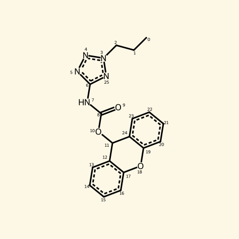 CCCn1nnc(NC(=O)OC2c3ccccc3Oc3ccccc32)n1